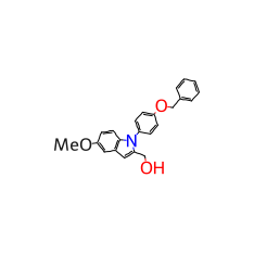 COc1ccc2c(c1)cc(CO)n2-c1ccc(OCc2ccccc2)cc1